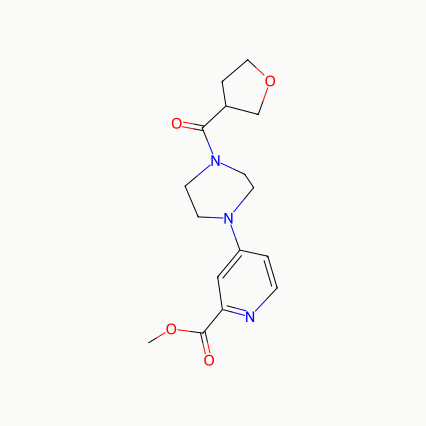 COC(=O)c1cc(N2CCN(C(=O)C3CCOC3)CC2)ccn1